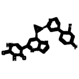 O=c1[nH]cc(-c2cc([C@H]3C[C@@H]3c3cc(-c4ccc(F)cc4F)ccn3)c3nccn3n2)c(=O)[nH]1